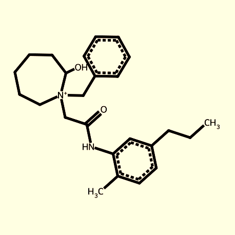 CCCc1ccc(C)c(NC(=O)C[N+]2(Cc3ccccc3)CCCCCC2O)c1